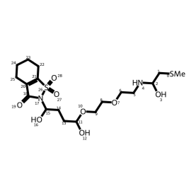 CSCC(O)NCCOCCOC(O)CCC(O)N1C(=O)C2=C(CCCC2)S1(=O)=O